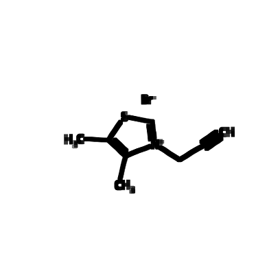 C#CC[n+]1csc(C)c1C.[Br-]